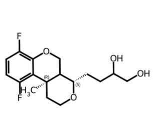 C[C@@]12CCO[C@@H](CCC(O)CO)C1COc1c(F)ccc(F)c12